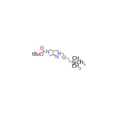 CC(C)(C)OC(=O)N1CC2=NN(COCC[Si](C)(C)C)CC2C1